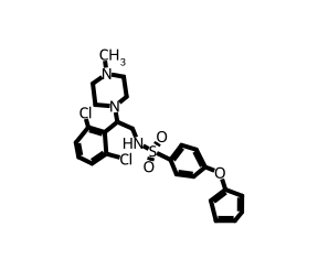 CN1CCN(C(CNS(=O)(=O)c2ccc(Oc3ccccc3)cc2)c2c(Cl)cccc2Cl)CC1